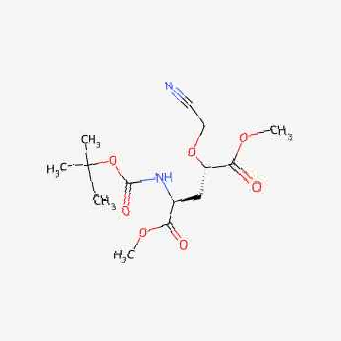 COC(=O)[C@H](C[C@H](OCC#N)C(=O)OC)NC(=O)OC(C)(C)C